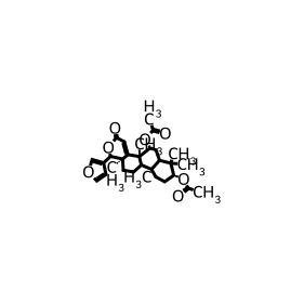 CC(=O)O[C@H]1CC[C@@]2(C)C(C[C@H](OC(C)=O)[C@@]3(C)C4=CC(=O)OC(c5ccoc5)[C@]4(C)CCC23)C1(C)C